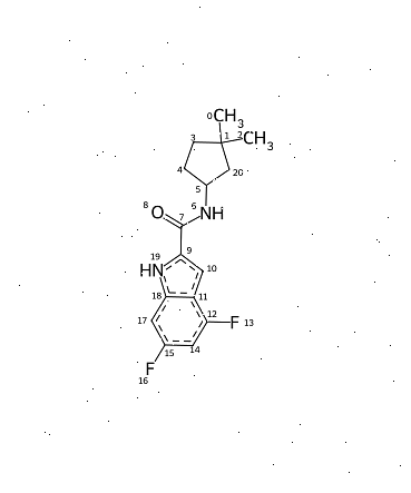 CC1(C)CCC(NC(=O)c2cc3c(F)cc(F)cc3[nH]2)C1